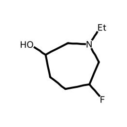 CCN1CC(O)CCC(F)C1